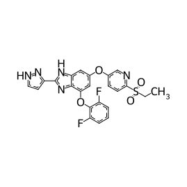 CCS(=O)(=O)c1ccc(Oc2cc(Oc3c(F)cccc3F)c3nc(-c4cc[nH]n4)[nH]c3c2)cn1